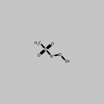 CS(=O)(=O)[N+]OS